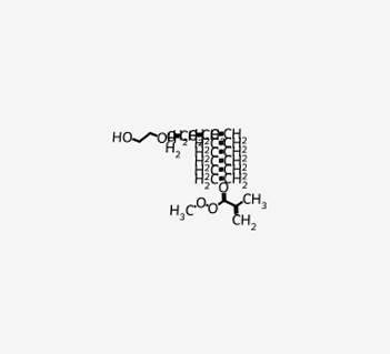 C=C.C=C.C=C.C=C.C=C.C=C.C=C.C=C.C=C(C)C(=O)OOC.OCCO